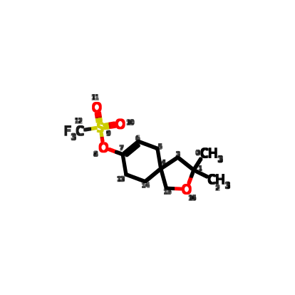 CC1(C)CC2(CC=C(OS(=O)(=O)C(F)(F)F)CC2)CO1